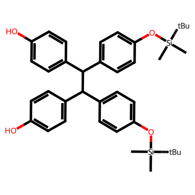 CC(C)(C)[Si](C)(C)Oc1ccc(C(c2ccc(O)cc2)C(c2ccc(O)cc2)c2ccc(O[Si](C)(C)C(C)(C)C)cc2)cc1